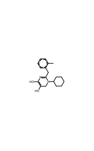 Cc1ccccc1CC1=NC(O)=C(O)CN1C1CCCCC1